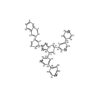 c1cc(-c2ccc3ccccc3c2)cc(-n2nc3cc(-c4cncc(-c5ccncc5)c4)cc(-c4cncc(-c5ccncc5)c4)c3n2)c1